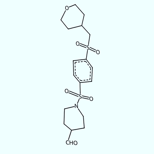 O=CC1CCN(S(=O)(=O)c2ccc(S(=O)(=O)CC3CCOCC3)cc2)CC1